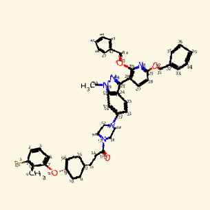 Cc1c(Br)cccc1O[C@H]1CC[C@H](CCC(=O)N2CCN(c3ccc4c(-c5ccc(OCc6ccccc6)nc5OCc5ccccc5)nn(C)c4c3)CC2)CC1